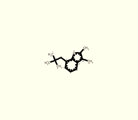 Cc1oc2c(CC(C)(C)C)cccc2c1C